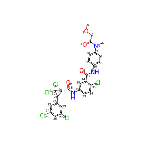 COCC(=O)N(C)c1ccc(NC(=O)c2cc(NC(=O)[C@@H]3[C@@H](c4cc(Cl)cc(Cl)c4)C3(Cl)Cl)ccc2Cl)cc1